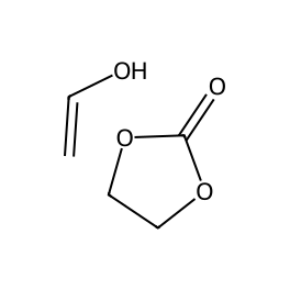 C=CO.O=C1OCCO1